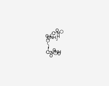 N[C@@H](Cc1ccc(C(=O)NC2CCCCC2)cc1)C(=O)N1CCC(CCC#Cc2cccc3c2CN(C2CCC(=O)NC2=O)C3=O)CC1